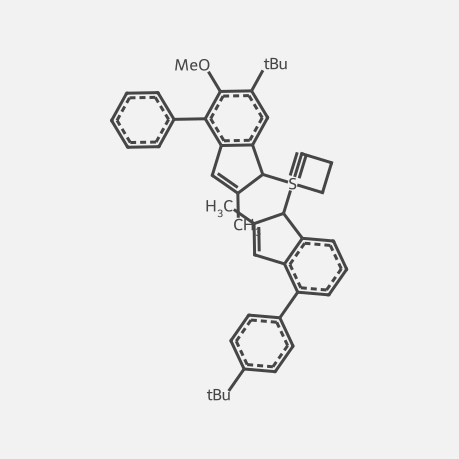 COc1c(C(C)(C)C)cc2c(c1-c1ccccc1)C=C(C)C2S1(C2C(C)=Cc3c(-c4ccc(C(C)(C)C)cc4)cccc32)#CCC1